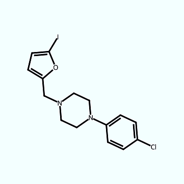 Clc1ccc(N2CCN(Cc3ccc(I)o3)CC2)cc1